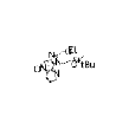 CCOCc1nc2c[n+]([O-])c3cccnc3c2n1CCO[Si](C)(C)C(C)(C)C